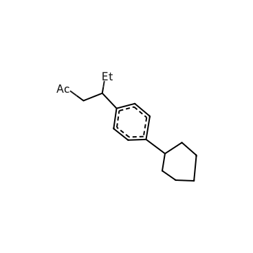 CCC(CC(C)=O)c1ccc(C2CCCCC2)cc1